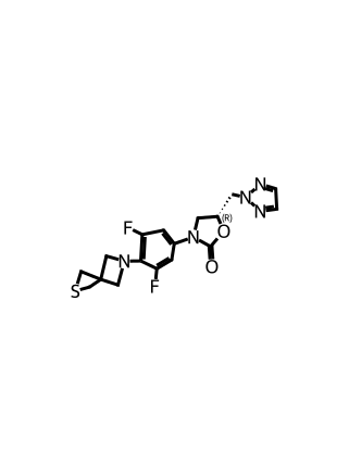 O=C1O[C@@H](Cn2nccn2)CN1c1cc(F)c(N2CC3(CSC3)C2)c(F)c1